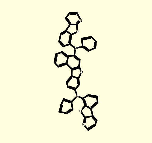 c1ccc(N(c2ccc3c(c2)oc2cc(N(c4ccccc4)c4cccc5c4oc4ncccc45)c4ccccc4c23)c2cccc3c2oc2ncccc23)cc1